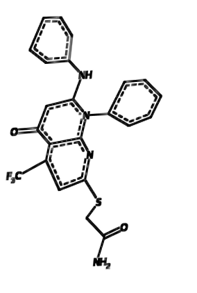 NC(=O)CSc1cc(C(F)(F)F)c2c(=O)cc(Nc3ccccc3)n(-c3ccccc3)c2n1